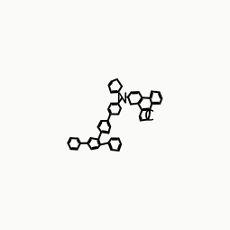 C1=CCCC(N(C2=CC=C(c3ccc(-c4cc(-c5ccccc5)ccc4-c4ccccc4)cc3)CC2)C2C=Cc3c(c4c(c5ccccc35)CCC=C4)C2)=C1